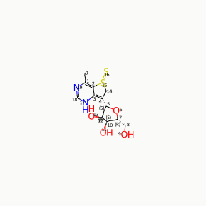 CC1=C2C(=C([C@@H]3O[C@H](CO)[C@@H](O)[C@H]3O)CS2=S)NC=N1